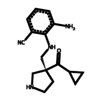 N#Cc1cccc(N)c1NC[C@]1(C(=O)C2CC2)CCNC1